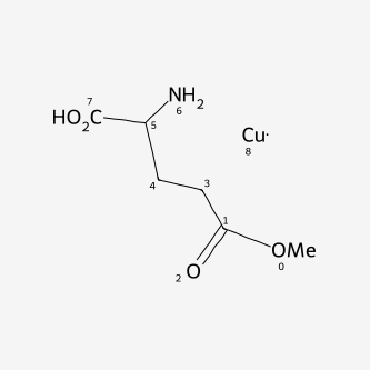 COC(=O)CCC(N)C(=O)O.[Cu]